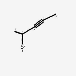 CC#CC(C)[S]